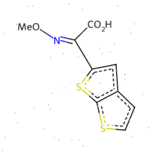 CON=C(C(=O)O)c1cc2ccsc2s1